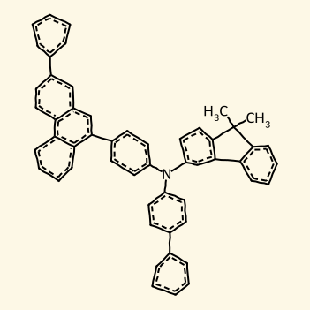 CC1(C)c2ccccc2-c2cc(N(c3ccc(-c4ccccc4)cc3)c3ccc(-c4cc5cc(-c6ccccc6)ccc5c5ccccc45)cc3)ccc21